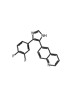 Fc1ccc(-c2nc[nH]c2-c2ccc3ncccc3c2)cc1F